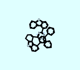 N/C(=N\C(=N/Cc1ccccc1)c1cccc2oc3ccccc3c12)C1=CCCc2oc3cccc(-c4ccc(-c5ccccc5)cc4)c3c21